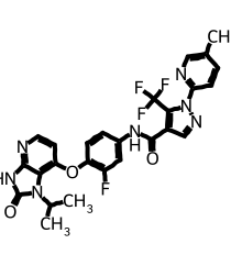 Cc1ccc(-n2ncc(C(=O)Nc3ccc(Oc4ccnc5[nH]c(=O)n(C(C)C)c45)c(F)c3)c2C(F)(F)F)nc1